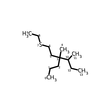 CCCC(C)(CCSCC)C(C)CC